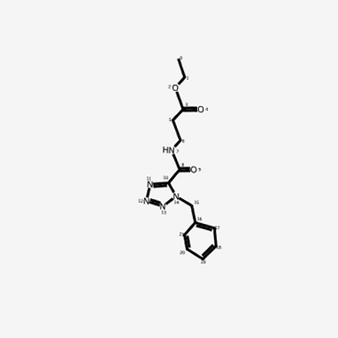 CCOC(=O)CCNC(=O)c1nnnn1Cc1ccccc1